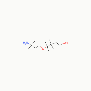 CC(C)(N)CCOC(C)(C)C(C)(C)CCO